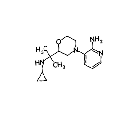 CC(C)(NC1CC1)C1CN(c2cccnc2N)CCO1